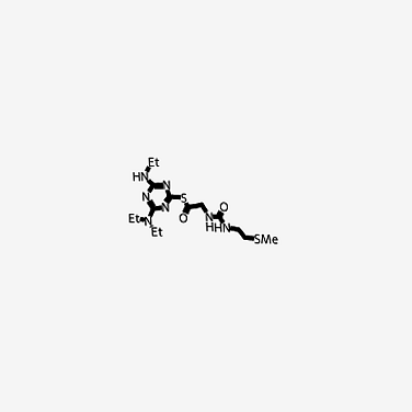 CCNc1nc(SC(=O)CNC(=O)NCCSC)nc(N(CC)CC)n1